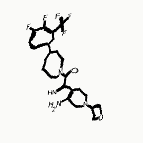 N=C(C(=O)N1CCCC(C2=CC=C(F)C(F)=C(C(F)(F)F)C2)CC1)C1=C(N)CN(C2COC2)CC1